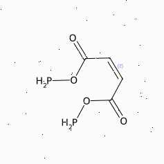 O=C(/C=C\C(=O)OP)OP